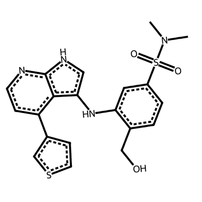 CN(C)S(=O)(=O)c1ccc(CO)c(Nc2c[nH]c3nccc(-c4ccsc4)c23)c1